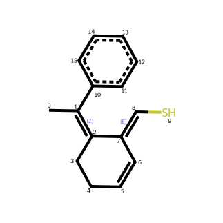 C/C(=C1\CCC=C\C1=C/S)c1ccccc1